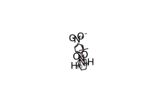 CC(C)(C)OC(=O)N1[C@@H]2CC[C@H]1CN(c1ccc([N+](=O)[O-])cc1)C2